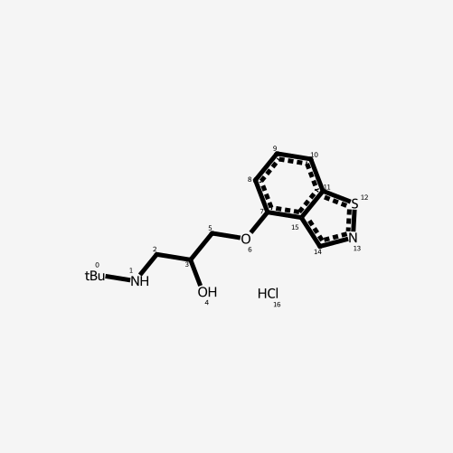 CC(C)(C)NCC(O)COc1cccc2sncc12.Cl